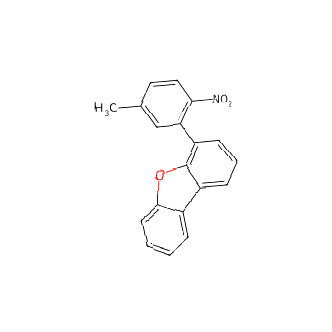 Cc1ccc([N+](=O)[O-])c(-c2cccc3c2oc2ccccc23)c1